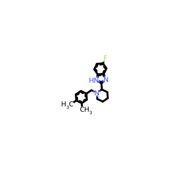 Cc1ccc(CN2CCCCC2c2nc3cc(F)ccc3[nH]2)cc1C